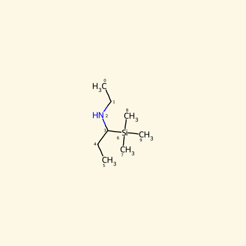 CCNC(CC)[Si](C)(C)C